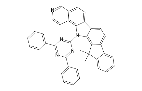 CC1(C)c2ccccc2-c2ccc3c4ccc5cnccc5c4n(-c4nc(-c5ccccc5)nc(-c5ccccc5)n4)c3c21